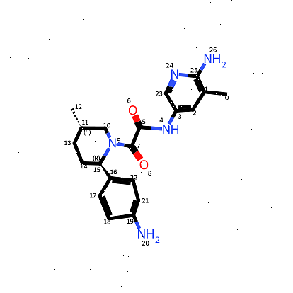 Cc1cc(NC(=O)C(=O)N2C[C@@H](C)CC[C@@H]2c2ccc(N)cc2)cnc1N